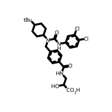 CC(C)(C)C1CCC(N(Cc2ccc(C(=O)NCC(O)C(=O)O)cc2)C(=O)Nc2ccc(Cl)c(Cl)c2)CC1